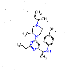 Bc1ccc(NC(=C)c2cc(N3CCN(C(=C)C=C)CC3C)nc(CC)n2)cc1